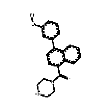 CCOc1cccc(-c2ccc(C(=O)N3CCNCC3)c3ccccc23)c1